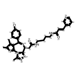 Cc1sc2c(c1C)C(c1ccc(Cl)cc1)=N[C@@H](CC(=O)NCCCCNC(=O)/C=C/c1cccnc1)c1nnc(C)n1-2